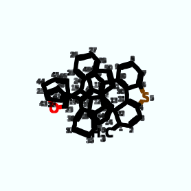 CC1C=Cc2sc3cccc(C4=C5C=CC=CC5C(c5ccoc5)c5ccccc54)c3c2C1c1c2ccccc2c(C2=CCCC=C2)c2ccccc12